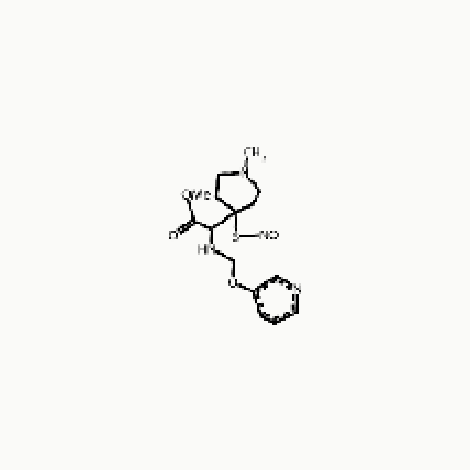 COC(=O)C(NCOc1cccnc1)C1(SN=O)CCN(C)CC1